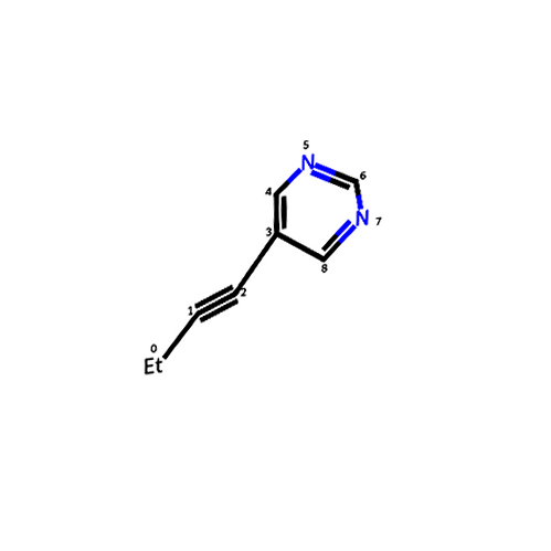 CCC#Cc1cncnc1